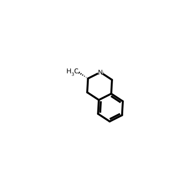 C[C@H]1Cc2ccccc2C[N]1